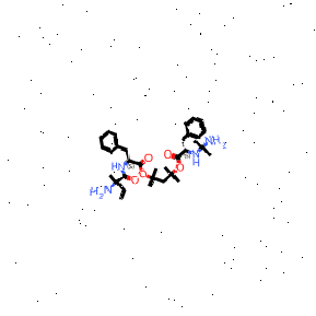 CCC(C)(N)C(=O)N[C@@H](Cc1ccccc1)C(=O)OC(C)(C)CC(C)(C)OC(=O)[C@H](Cc1ccccc1)NC(C)(C)N